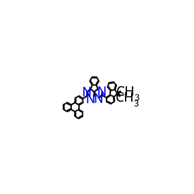 CC1(C)c2ccccc2-c2c(-c3nc4c5c(nc(-c6ccc7c8ccccc8c8ccccc8c7c6)nc5n3)-c3ccccc3-4)cccc21